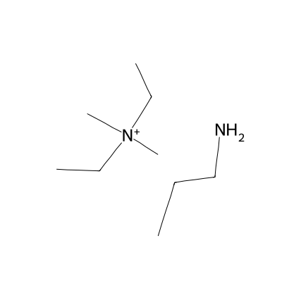 CCCN.CC[N+](C)(C)CC